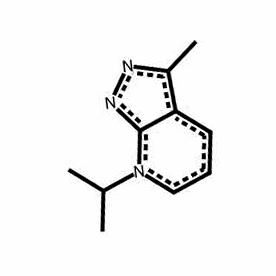 Cc1nnc2n(C(C)C)cccc1-2